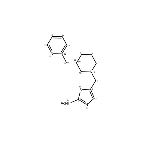 CC(=O)Nc1ncc(CN2CCC[C@@H](Cc3ccccn3)C2)s1